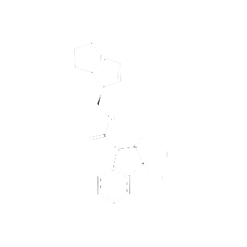 CC1(C)C(=O)N(C(=O)NC[C@@H]2C=CN3CCCC23)c2ccccc21